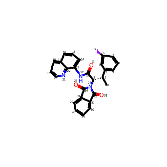 CC(c1cccc(I)c1)[C@@H](C(=O)Nc1cccc2cccnc12)N1C(=O)c2ccccc2C1=O